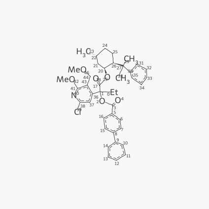 CCC(OC(=O)c1ccc(-c2ccccc2)cc1)(C(=O)O[C@H]1C[C@H](C)CC[C@H]1C(C)(C)c1ccccc1)c1cc(Cl)nc(OC)c1COC